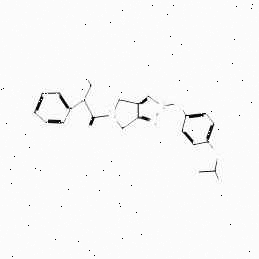 O=C(C(CO)c1ccccc1)N1Cc2cn(Sc3ccc(OC(F)F)cc3)nc2C1